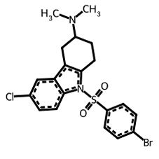 CN(C)C1CCc2c(c3cc(Cl)ccc3n2S(=O)(=O)c2ccc(Br)cc2)C1